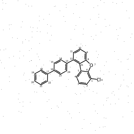 Clc1cccc2c1oc1cccc(-c3ccc(-c4ccccc4)cc3)c12